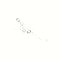 COCCOCCOCCOCc1cc(OC)c(-c2ccc(C[C@H](NC(=O)[C@@H]3CCN3S(=O)(=O)c3ccccc3)C(=O)O)cc2)c(OC)c1